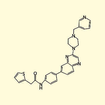 O=C(Cc1cccs1)Nc1ccc(-c2ccc3ncc(N4CCN(Cc5cccnc5)CC4)nc3c2)cc1